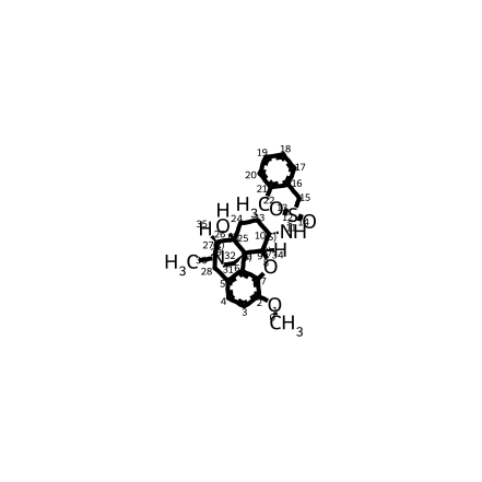 COc1ccc2c3c1O[C@H]1[C@@H](NS(=O)(=O)Cc4ccccc4C)CC[C@@]4(O)[C@@H](C2)N(C)CC[C@]314